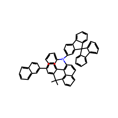 CC1(C)c2cc(-c3ccc4ccccc4c3)ccc2-c2c(N(c3ccccc3)c3ccc4c(c3)C3(c5ccccc5-c5ccccc53)c3ccccc3-4)ccc3cccc1c23